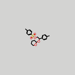 Cc1ccc(C(COS(=O)(=O)c2ccc(C)cc2)OC2CCCCO2)cc1